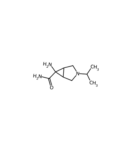 CC(C)N1CC2C(C1)C2(N)C(N)=O